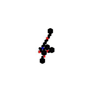 CC(C(=O)c1cc(OCc2ccccc2)cc(OCc2ccccc2)c1)N(CCCCCCOCCCc1ccccc1)Cc1ccccc1